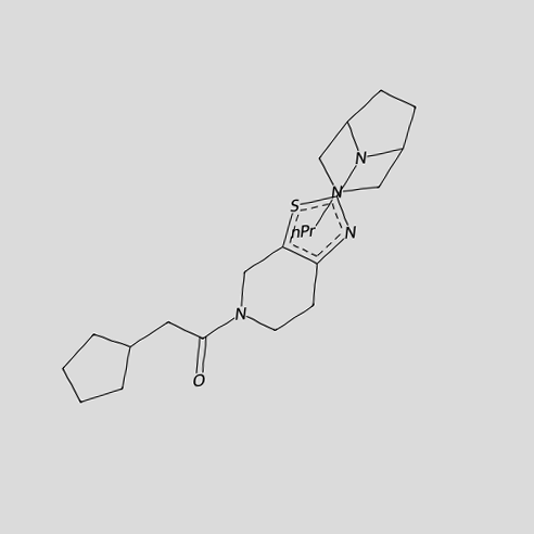 CCCN1CC2CCC(C1)N2c1nc2c(s1)CN(C(=O)CC1CCCC1)CC2